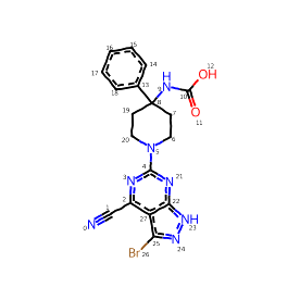 N#Cc1nc(N2CCC(NC(=O)O)(c3ccccc3)CC2)nc2[nH]nc(Br)c12